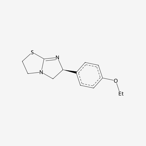 CCOc1ccc([C@H]2CN3CCSC3=N2)cc1